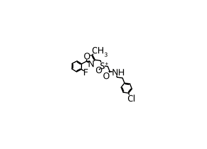 Cc1oc(-c2ccccc2F)nc1C[S+]([O-])CC(=O)NCCc1ccc(Cl)cc1